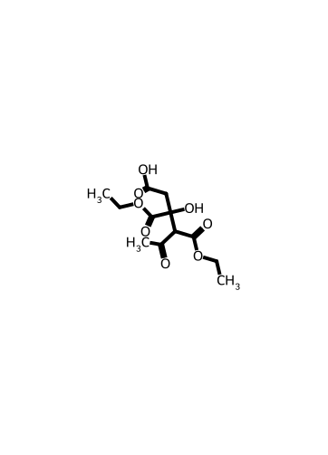 CCOC(=O)C(C(C)=O)C(O)(CC(=O)O)C(=O)OCC